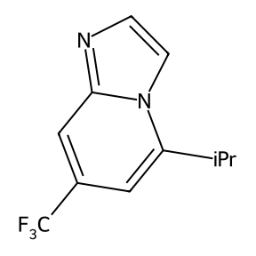 CC(C)c1cc(C(F)(F)F)cc2nccn12